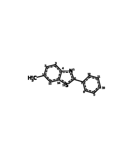 Cc1ccc2nc(-c3cc[c]cc3)sc2c1